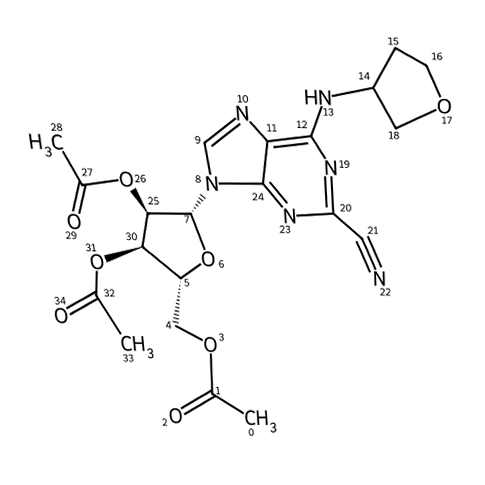 CC(=O)OC[C@H]1O[C@@H](n2cnc3c(NC4CCOC4)nc(C#N)nc32)[C@H](OC(C)=O)[C@@H]1OC(C)=O